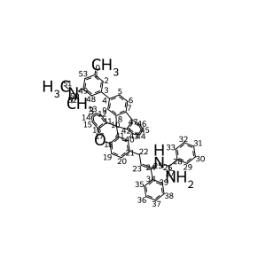 Cc1cc(-c2ccc3c(c2)C2(c4ccccc4Oc4ccc(C/C=C(\NC(N)c5ccccc5)c5ccccc5)cc42)c2ccccc2-3)cc(N(C)C)c1